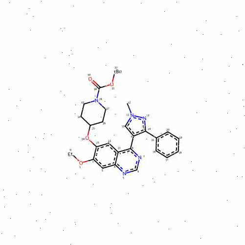 CCOc1cc2ncnc(-c3cn(C)nc3-c3ccccc3)c2cc1OC1CCN(C(=O)OC(C)(C)C)CC1